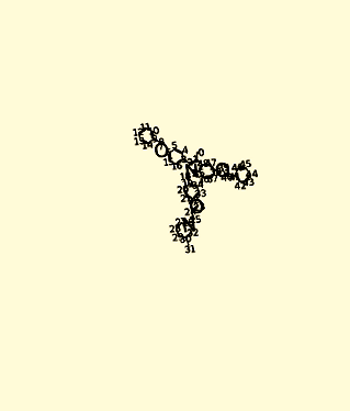 Cc1c(-c2ccc(OCc3ccccc3)cc2)n(Cc2ccc(OCCN3CCCC(C)C3)cc2)c2ccc(OCc3ccccc3)cc12